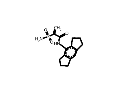 C=C(C(=O)Nc1c2c(cc3c1CCC3)CCC2)S(N)(=O)=O